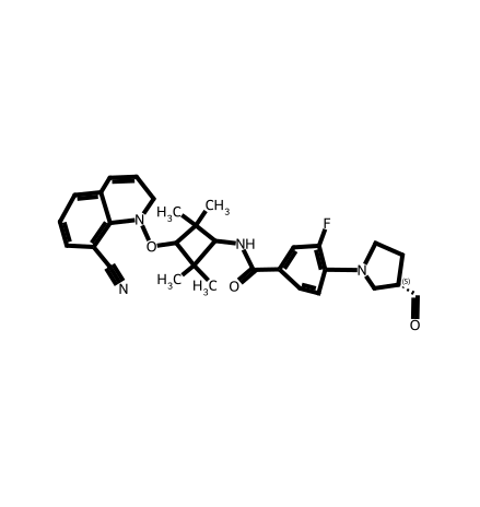 CC1(C)C(NC(=O)c2ccc(N3CC[C@H](C=O)C3)c(F)c2)C(C)(C)C1ON1CC=Cc2cccc(C#N)c21